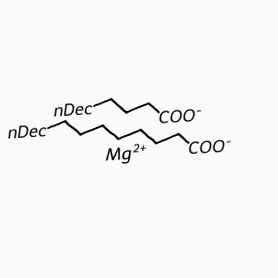 CCCCCCCCCCCCCC(=O)[O-].CCCCCCCCCCCCCCCCCC(=O)[O-].[Mg+2]